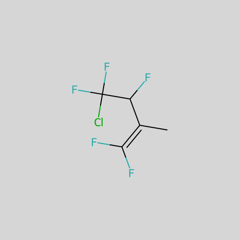 CC(=C(F)F)C(F)C(F)(F)Cl